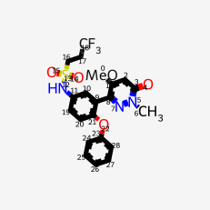 COc1cc(=O)n(C)nc1-c1cc(NS(=O)(=O)CCC(F)(F)F)ccc1Oc1ccccc1